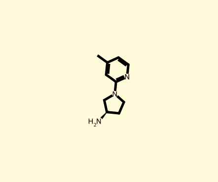 Cc1ccnc(N2CC[C@@H](N)C2)c1